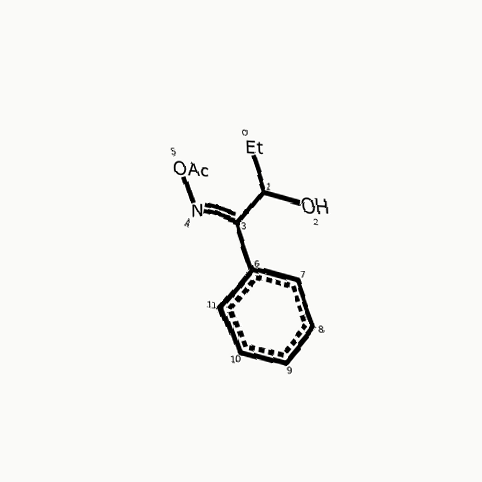 CCC(O)C(=NOC(C)=O)c1ccccc1